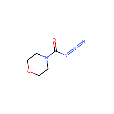 [N-]=[N+]=NC(=O)N1CCOCC1